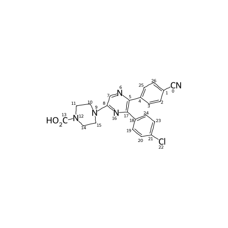 N#Cc1ccc(-c2ncc(N3CCN(C(=O)O)CC3)nc2-c2ccc(Cl)cc2)cc1